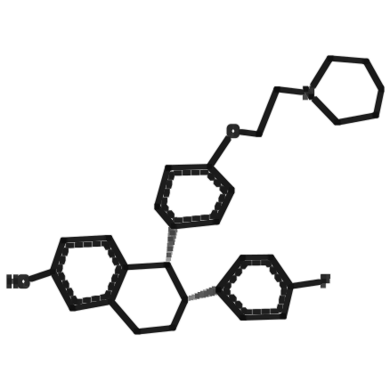 Oc1ccc2c(c1)CC[C@@H](c1ccc(F)cc1)[C@H]2c1ccc(OCCN2CCCCC2)cc1